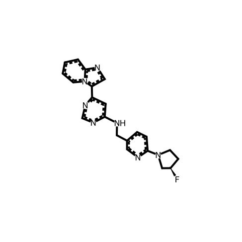 F[C@@H]1CCN(c2ccc(CNc3cc(-c4cnc5ccccn45)ncn3)cn2)C1